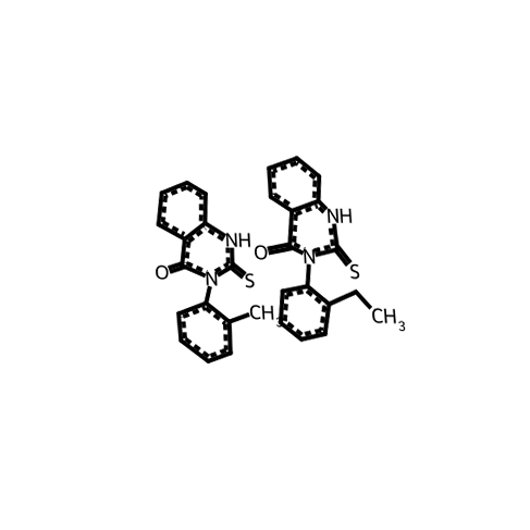 CCc1ccccc1-n1c(=S)[nH]c2ccccc2c1=O.Cc1ccccc1-n1c(=S)[nH]c2ccccc2c1=O